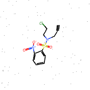 C#CCN(CCCl)S(=O)(=O)c1ccccc1[N+](=O)[O-]